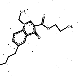 CCCOC(=O)c1cn(CC)c2ccc(CCCN)cc2c1=O